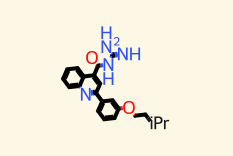 CC(C)CCOc1cccc(-c2cc(C(=O)NC(=N)N)c3ccccc3n2)c1